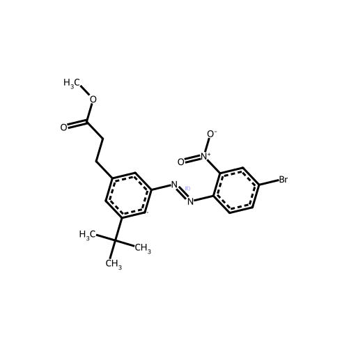 COC(=O)CCc1cc(/N=N/c2ccc(Br)cc2[N+](=O)[O-])[c]c(C(C)(C)C)c1